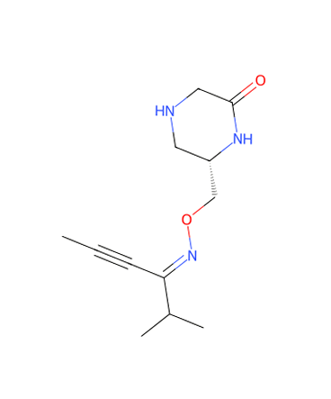 CC#C/C(=N\OC[C@@H]1CNCC(=O)N1)C(C)C